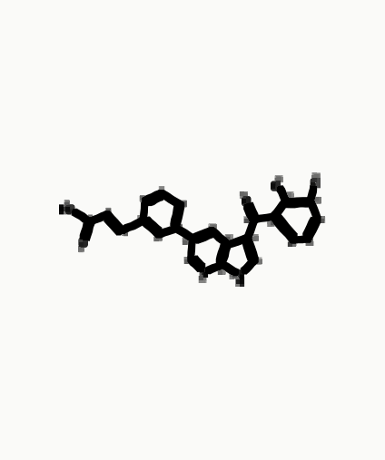 O=C(O)C=Cc1cccc(-c2cnc3[nH]cc(C(=O)c4cccc(Cl)c4Cl)c3c2)c1